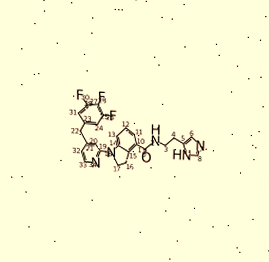 O=C(NCCc1cnc[nH]1)c1cccc2c1CCN2c1cc(Cc2cc(F)c(F)c(F)c2)ccn1